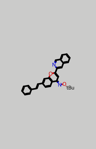 CC(C)(C)ON=c1cc(-c2cc3ccccc3cn2)oc2cc(/C=C/c3ccccc3)ccc12